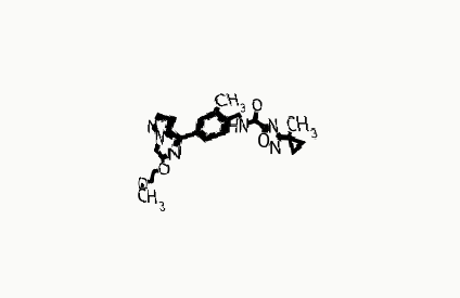 COCCOc1cn2nccc2c(-c2ccc(CNC(=O)c3nc(C4(C)CC4)no3)c(C)c2)n1